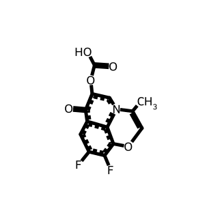 CC1=COc2c(F)c(F)cc3c(=O)c(OC(=O)O)cn1c23